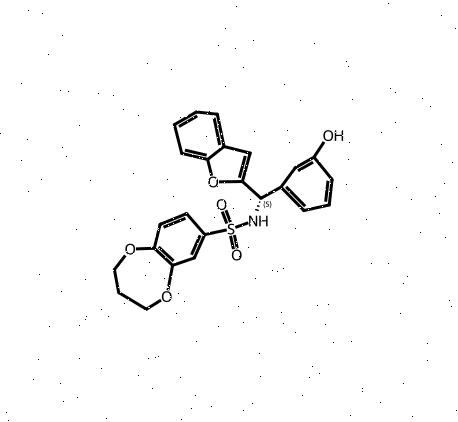 O=S(=O)(N[C@@H](c1cccc(O)c1)c1cc2ccccc2o1)c1ccc2c(c1)OCCCO2